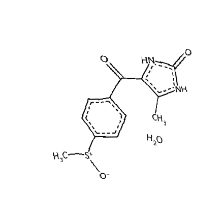 Cc1[nH]c(=O)[nH]c1C(=O)c1ccc([S+](C)[O-])cc1.O